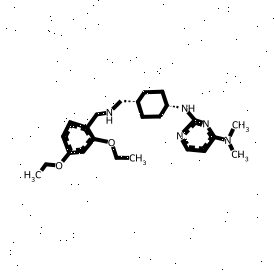 CCOc1ccc(CNC[C@H]2CC[C@@H](Nc3nccc(N(C)C)n3)CC2)c(OCC)c1